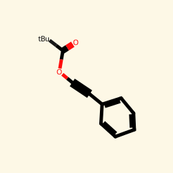 CC(C)(C)C(=O)OC#Cc1ccccc1